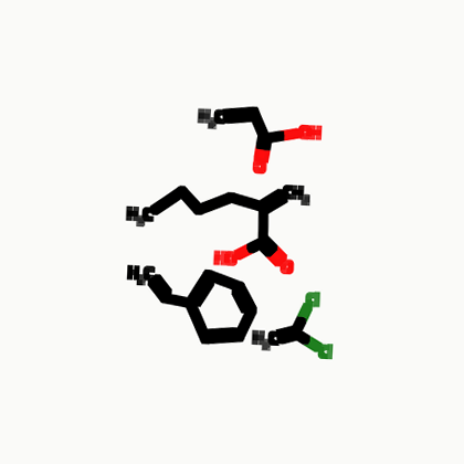 C=C(CCCC)C(=O)O.C=C(Cl)Cl.C=CC(=O)O.C=Cc1ccccc1